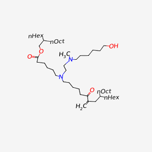 C=C(CC(CCCCCC)CCCCCCCC)C(=O)CCCCCN(CCCCCC(=O)OCC(CCCCCC)CCCCCCCC)CCN(C)CCCCCCO